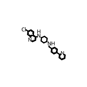 Clc1ccc2c(N[C@H]3CC[C@@H](NCc4ccc(-c5ccccn5)cc4)CC3)ccnc2c1